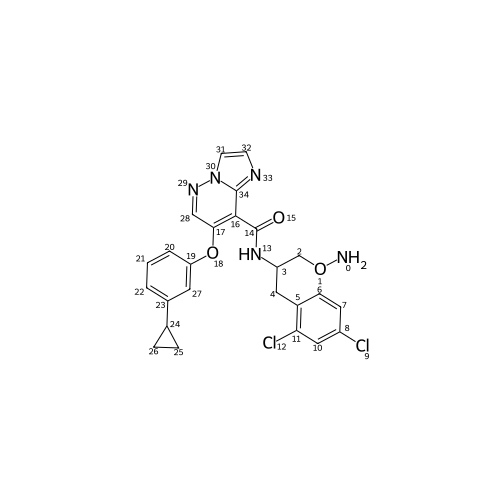 NOCC(Cc1ccc(Cl)cc1Cl)NC(=O)c1c(Oc2cccc(C3CC3)c2)cnn2ccnc12